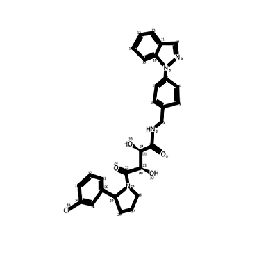 O=C(NCc1ccc(-n2ncc3ccccc32)cc1)[C@H](O)[C@@H](O)C(=O)N1CCCC1c1cccc(Cl)c1